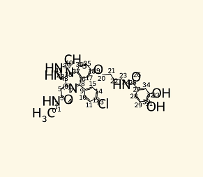 CCNC(=O)C[C@@H]1N=C(c2ccc(Cl)cc2)c2cc(OCCCCNC(=O)c3ccc(O)c(O)c3)ccc2N2C(C)NNC12